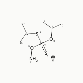 CC(C)OP(=S)(ON)SC(C)C.[W]